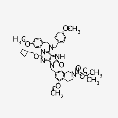 C=COc1cc(Cn2c(=O)[nH]c3c(N(Cc4ccc(OC)cc4)Cc4ccc(OC)cc4)nc(OCC4CCC4)nc32)cc2c1CCN(C(=O)OC(C)(C)C)C2